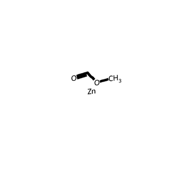 COC=O.[Zn]